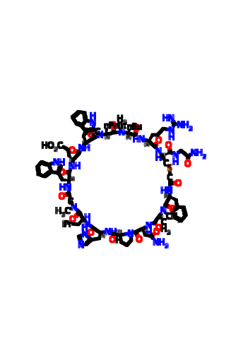 CCCCC[C@H]1C(=O)N(C)[C@@H](CCCC)C(=O)N[C@@H](CCCNC(=N)N)C(=O)N[C@H](C(=O)NCC(N)=O)CSCC(=O)N[C@@H](Cc2ccccc2)C(=O)N(C)[C@@H](C)C(=O)N[C@@H](CC(N)=O)C(=O)N2CCC[C@H]2C(=O)N[C@@H](Cc2cnc[nH]2)C(=O)N[C@@H](CC(C)C)C(=O)N(C)CC(=O)N[C@@H](Cc2c[nH]c3ccccc23)C(=O)N[C@H](CCC(=O)O)C(=O)N[C@@H](Cc2c[nH]c3ccccc23)C(=O)N1C